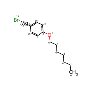 CCCCCCCOc1cc[c]([Mg][Br])cc1